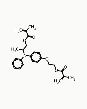 C=C(C)C(=O)OCCOc1ccc(N(c2ccccc2)C(C)COC(=O)C(=C)C)cc1